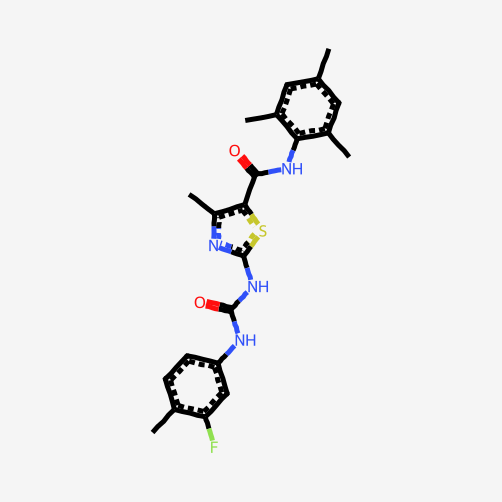 Cc1cc(C)c(NC(=O)c2sc(NC(=O)Nc3ccc(C)c(F)c3)nc2C)c(C)c1